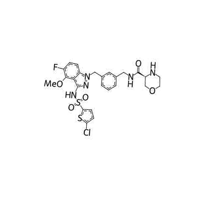 COc1c(F)ccc2c1c(NS(=O)(=O)c1ccc(Cl)s1)nn2Cc1cccc(CNC(=O)[C@@H]2COCCN2)c1